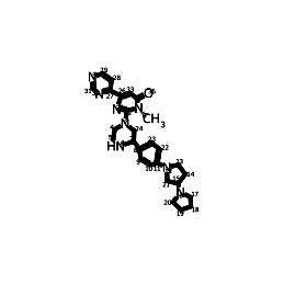 Cn1c(N2CCNC(c3ccc(N4CCC(N5CCCC5)C4)cc3)C2)nc(-c2ccncn2)cc1=O